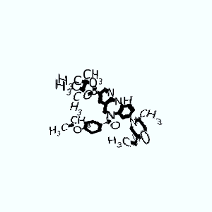 CC[C@H]1CN(c2ccc3c(c2)N(C(=O)[C@H]2CC[C@H](OC(C)C)CC2)Cc2cc(B4OC(C)(C)C(C)(C)O4)cnc2N3)[C@@H](C)CO1